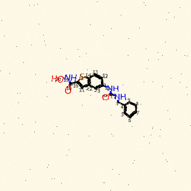 O=C(NCc1ccccc1)Nc1ccc2sc(C(=O)NO)cc2c1